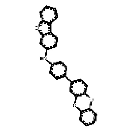 c1ccc2c(c1)Oc1ccc(-c3ccc(Nc4ccc5c(c4)oc4ccccc45)cc3)cc1O2